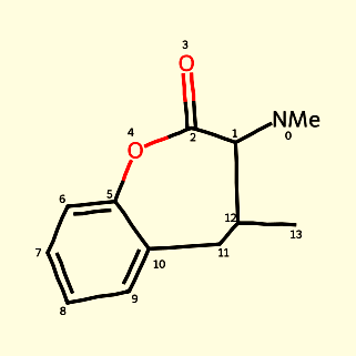 CNC1C(=O)Oc2ccccc2CC1C